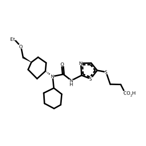 CCOC[C@H]1CC[C@H](N(C(=O)Nc2ncc(SCCC(=O)O)s2)C2CCCCC2)CC1